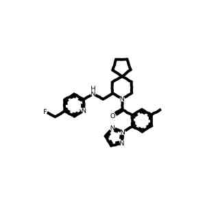 Cc1ccc(-n2nccn2)c(C(=O)N2CCC3(CCCC3)CC2CNc2ccc(CF)cn2)c1